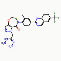 Cc1cc(-c2ncc3cc(C(F)(F)F)ccc3n2)ccc1N1CCOc2cnn(C/C(=N/N)NN)c2C1=O